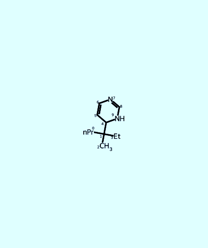 CCCC(C)(CC)C1C=CN=CN1